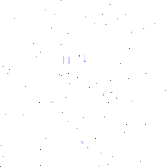 N#Cc1cc(N)cc(F)c1-c1cnn(C2CCOCC2)c1